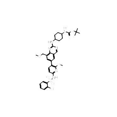 COCc1cc(-c2ccc(NS(=O)(=O)c3ccccc3Cl)nc2OC)cc2cnc(NC3CCC(NC(=O)OC(C)(C)C)CC3)nc12